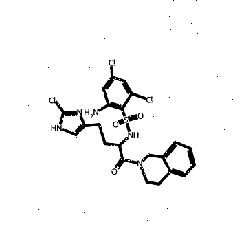 Nc1cc(Cl)cc(Cl)c1S(=O)(=O)NC(CCc1c[nH]c(Cl)n1)C(=O)N1CCc2ccccc2C1